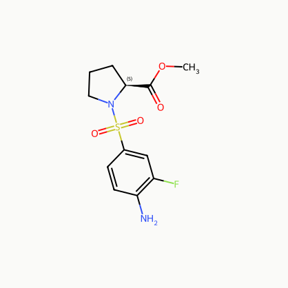 COC(=O)[C@@H]1CCCN1S(=O)(=O)c1ccc(N)c(F)c1